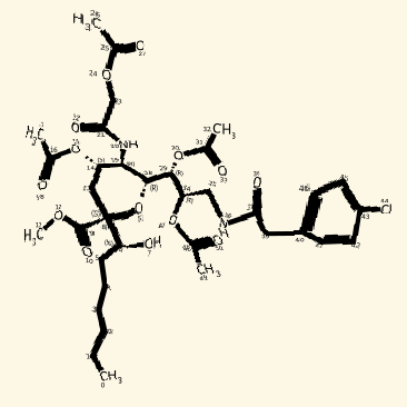 CCCCCC[C@H](O)[C@]1(C(=O)OC)C[C@H](OC(C)=O)[C@@H](NC(=O)COC(C)=O)[C@H]([C@H](OC(C)=O)[C@@H](CNC(=O)Cc2ccc(Cl)cc2)OC(C)=O)O1